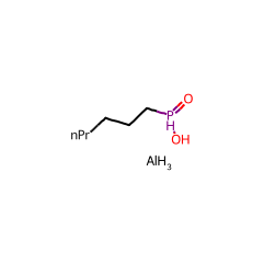 CCCCCC[PH](=O)O.[AlH3]